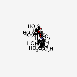 O=C(O)CC(Nc1nc(Nc2cccc(S(=O)(=O)O)c2)nc(Nc2ccc(/C=C/c3ccc(Nc4nc(Nc5ccccc5S(=O)(=O)O)nc(NC(CC(=O)O)C(=O)O)n4)cc3)c(S(=O)(=O)O)c2)n1)C(=O)O